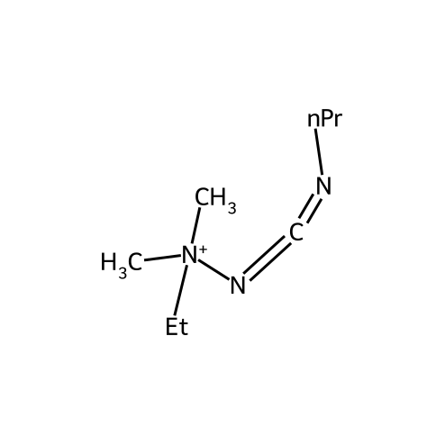 CCCN=C=N[N+](C)(C)CC